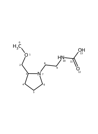 COCC1CCCN1CCNC(=O)O